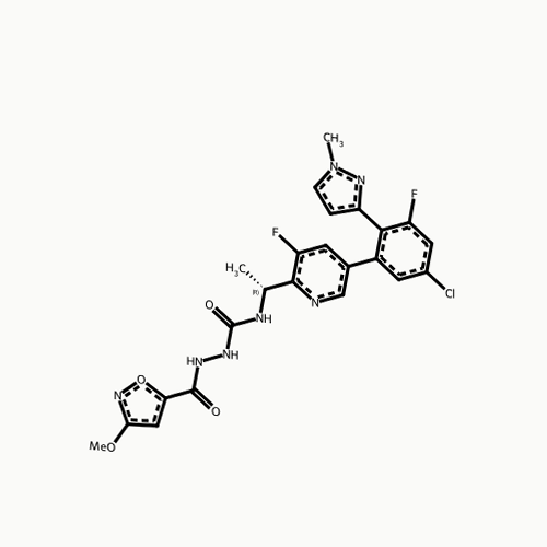 COc1cc(C(=O)NNC(=O)N[C@H](C)c2ncc(-c3cc(Cl)cc(F)c3-c3ccn(C)n3)cc2F)on1